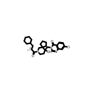 C[C@H](CC1CCCCC1)C(=O)N1CCC(O)(Cn2cnc3cc(Cl)ccc3c2=O)C2(CCCC2)C1